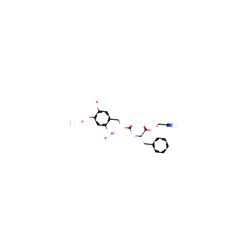 COc1cc(COC(=O)N[C@H](Cc2ccccc2)C(=O)OCC#N)c([N+](=O)[O-])cc1OC